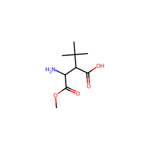 COC(=O)C(N)C(C(=O)O)C(C)(C)C